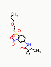 CCCOCCS(=O)(=O)c1ccc(NC(=O)C2(CC)CC2)cc1[N+](=O)[O-]